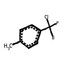 Cc1ccc(C(F)(F)Cl)cc1